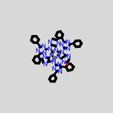 c1ccc(-c2nc(-c3ccccc3)nc(N3B4N(B5N(B6N4c4nccnc4N6c4nc(-c6ccccc6)nc(-c6ccccc6)n4)c4nccnc4N5c4nc(-c5ccccc5)nc(-c5ccccc5)n4)c4nccnc43)n2)cc1